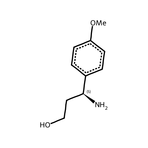 COc1ccc([C@@H](N)CCO)cc1